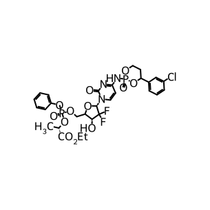 CCOC(=O)[C@H](C)OP(=O)(OCC1O[C@@H](n2ccc(NP3(=O)OCCC(c4cccc(Cl)c4)O3)nc2=O)C(F)(F)[C@H]1O)Oc1ccccc1